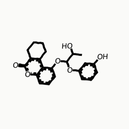 CC(O)C(Oc1cccc(O)c1)Oc1cccc2oc(=O)c3c(c12)CCCC3